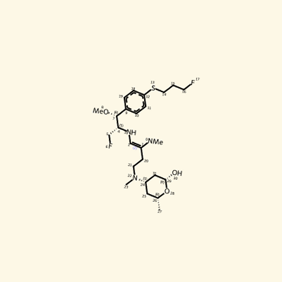 CN/C(=C\N[C@H](CF)[C@H](OC)c1ccc(SCCCF)cc1)CCN(C)[C@H]1C[C@@H](C)O[C@@H](O)C1